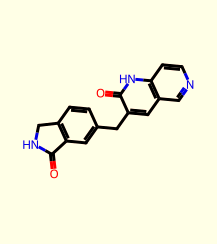 O=C1NCc2ccc(Cc3cc4cnccc4[nH]c3=O)cc21